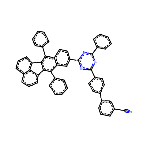 N#Cc1cccc(-c2ccc(-c3nc(-c4ccccc4)nc(-c4ccc5c(-c6ccccc6)c6c(c(-c7ccccc7)c5c4)-c4cccc5cccc-6c45)n3)cc2)c1